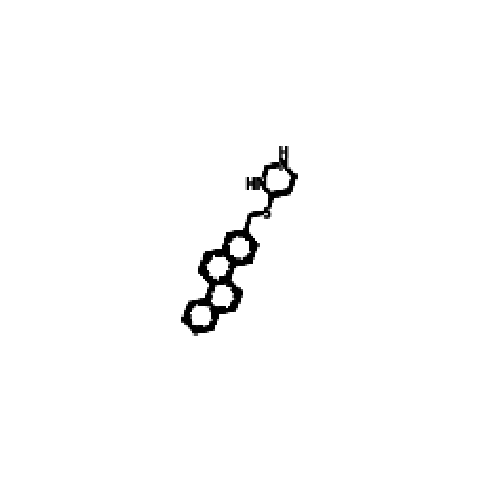 C1=C(SCc2ccc3c(ccc4c5ccccc5ccc34)c2)NCNC1